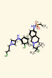 C[C@@H]1Cc2cc(NS(=O)(=O)CC(F)(F)F)ccc2[C@@H](C2(C)C(F)=CC(NC3CN(CCCF)C3)=CC2F)N1CC(C)(C)F